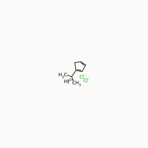 CC(C)C1=CC=CC1.[Cl-].[Cl-].[Hf+2]